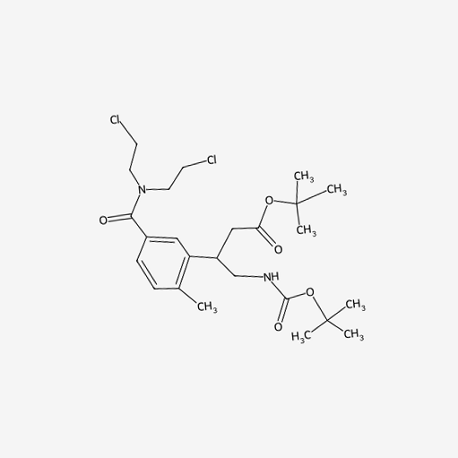 Cc1ccc(C(=O)N(CCCl)CCCl)cc1C(CNC(=O)OC(C)(C)C)CC(=O)OC(C)(C)C